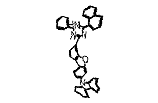 c1ccc(C2N=C(c3ccc4c(c3)oc3cc(-n5c6ccccc6c6ccccc65)ccc34)N=C(c3cccc4ccccc34)N2)cc1